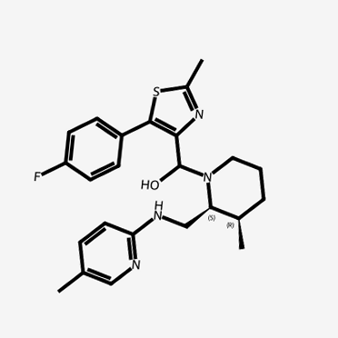 Cc1ccc(NC[C@@H]2[C@H](C)CCCN2C(O)c2nc(C)sc2-c2ccc(F)cc2)nc1